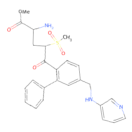 COC(=O)C(N)CC(C(=O)c1ccc(CNc2cccnc2)cc1-c1ccccc1)S(C)(=O)=O